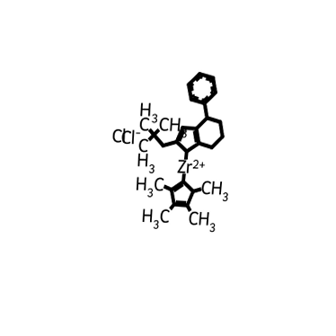 CC1=C(C)C(C)[C]([Zr+2][CH]2C(CC(C)(C)C)=CC3=C2CCCC3c2ccccc2)=C1C.[Cl-].[Cl-]